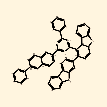 C1=CC2Oc3ccccc3C2C(c2nc(-c3ccccc3)nc(-c3ccc4cc(-c5ccccc5)ccc4c3)n2)=C1c1ccc2c(c1)oc1ccccc12